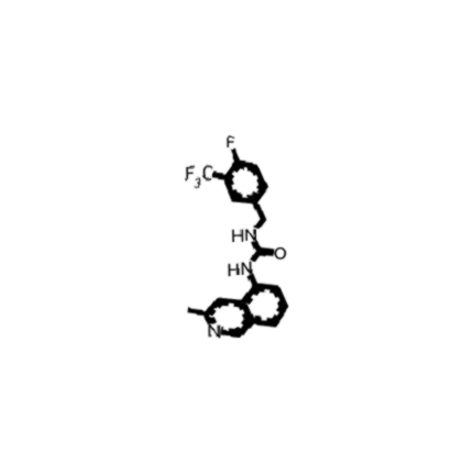 Cc1cc2c(NC(=O)NCc3ccc(F)c(C(F)(F)F)c3)cccc2cn1